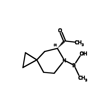 CB(O)N1CCC2(CC2)C[C@@H]1C(C)=O